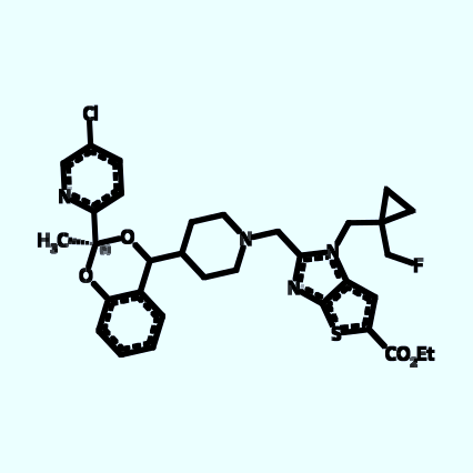 CCOC(=O)c1cc2c(nc(CN3CCC(C4O[C@](C)(c5ccc(Cl)cn5)Oc5ccccc54)CC3)n2CC2(CF)CC2)s1